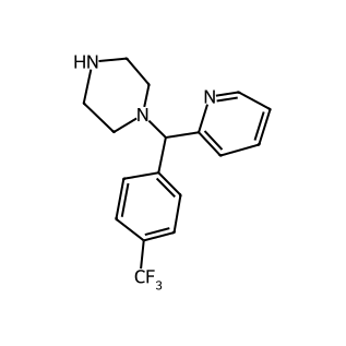 FC(F)(F)c1ccc(C(c2ccccn2)N2CCNCC2)cc1